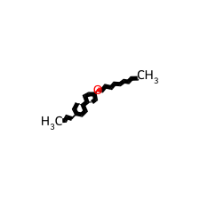 CCCCCCCCCCO[C@H]1CC[C@H]([C@H]2CC[C@H](CCCC)CC2)CC1